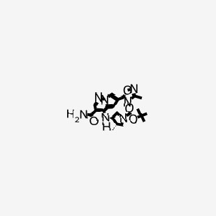 Cc1noc(-c2cc3c(N[C@@H]4CN(C(=O)OC(C)(C)C)C[C@@H]4C)c(C(N)=O)cnn3c2)n1